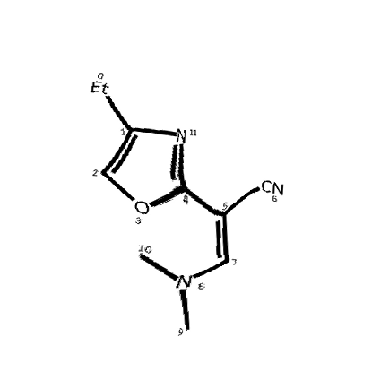 CCc1coc(/C(C#N)=C\N(C)C)n1